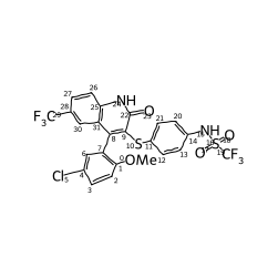 COc1ccc(Cl)cc1-c1c(Sc2ccc(NS(=O)(=O)C(F)(F)F)cc2)c(=O)[nH]c2ccc(C(F)(F)F)cc12